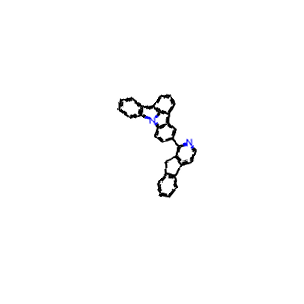 c1ccc2c(c1)Cc1c-2ccnc1-c1ccc2c(c1)c1cccc3c4ccccc4n2c31